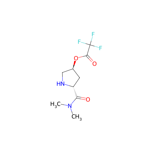 CN(C)C(=O)[C@H]1C[C@H](OC(=O)C(F)(F)F)CN1